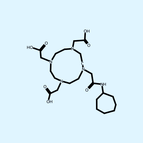 O=C(O)CN1CCN(CC(=O)O)CCN(CC(=O)NC2CCCCCC2)CCN(CC(=O)O)CC1